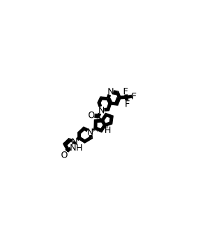 O=C(N1CCc2ncc(C(F)(F)F)cc2C1)[C@@]12CCC[C@@H]1C[C@@H](N1CCC(n3ccc(=O)[nH]3)CC1)C2